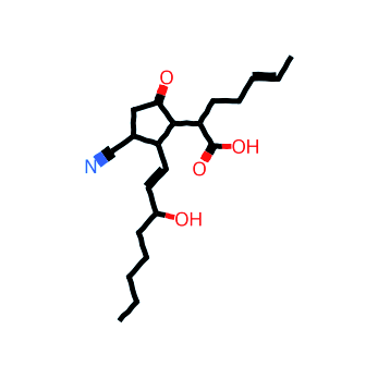 CC=CCCC(C(=O)O)C1C(=O)CC(C#N)C1C=CC(O)CCCCC